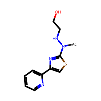 CC(=O)N(NCCO)c1nc(-c2ccccn2)cs1